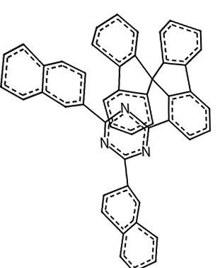 c1ccc2c(c1)-c1ccccc1C21c2ccccc2-c2cccc(-c3nc(-c4ccc5ccccc5c4)nc(-c4ccc5ccccc5c4)n3)c21